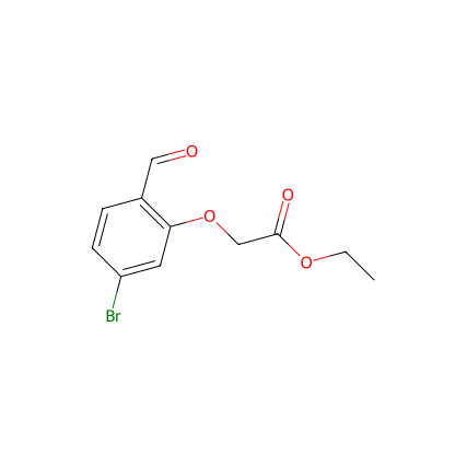 CCOC(=O)COc1cc(Br)ccc1C=O